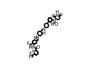 Cn1c(=O)n([C@@H]2CCC(=O)NC2=O)c2cccc(C3CCC(NCC4CCC(n5cc6cc(NC(=O)c7cccc(C(F)(F)F)n7)c(C(F)F)cc6n5)CC4)CC3)c21